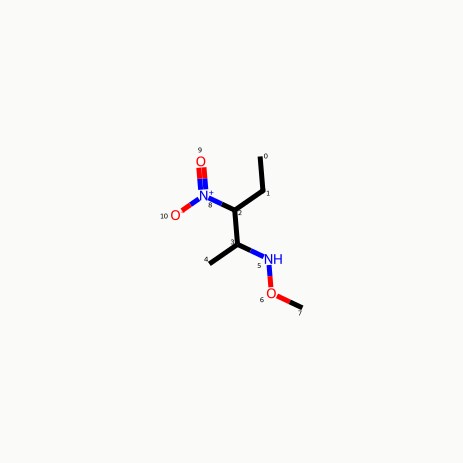 CCC(C(C)NOC)[N+](=O)[O-]